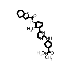 Cc1c(NC(=O)c2cc3c(s2)CCCC3)cccc1-c1ccnc(Nc2ccc(C(=O)N(C)C)cc2)n1